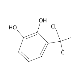 CC(Cl)(Cl)c1cccc(O)c1O